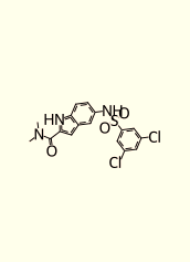 CN(C)C(=O)c1cc2cc(NS(=O)(=O)c3cc(Cl)cc(Cl)c3)ccc2[nH]1